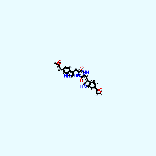 O=C1NC(CC2CNc3cc(C4CCO4)ccc32)C(=O)NC1CC1CNc2cc(CC3CO3)ccc21